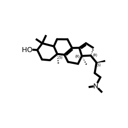 C[C@@H](CCN(C)C)[C@H]1CC=C2C3=C(CC[C@@]21C)[C@@]1(C)CCC(O)C(C)(C)C1CC3